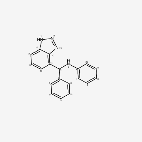 c1ccc(NC(c2ccccc2)c2cccc3[nH]nnc23)cc1